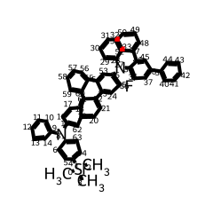 C[Si](C)(C)c1ccc(N(c2ccccc2)c2ccc3c(ccc4c5ccc(N(c6ccccc6)c6c(F)cc(-c7ccccc7)cc6-c6ccccc6)cc5c5ccccc5c34)c2)cc1